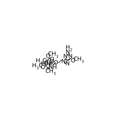 COC(=O)[C@@H](C)NP(=O)(COCCn1cnc2c(OC)nc(N)nc21)N[C@H](C)C(=O)OC